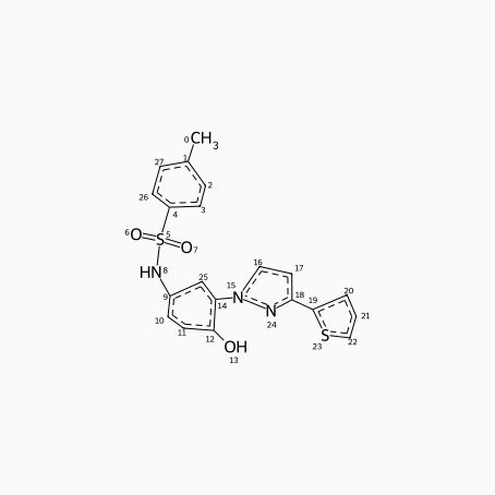 Cc1ccc(S(=O)(=O)Nc2ccc(O)c(-n3ccc(-c4cccs4)n3)c2)cc1